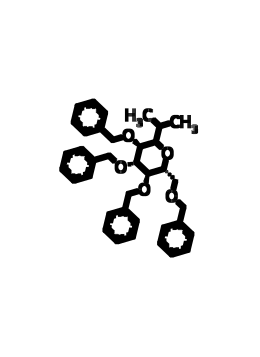 CC(C)C1O[C@H](COCc2ccccc2)[C@@H](OCc2ccccc2)[C@H](OCc2ccccc2)[C@H]1OCc1ccccc1